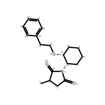 CC1CC(=O)N([C@H]2CCCC[C@H]2OCCc2ccccc2)C1=O